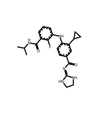 CC(C)NC(=O)c1cccc(Nc2ccc(C(=O)N=C3NCCN3)cc2C2CC2)c1F